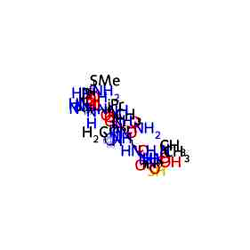 C=C1/C=C\C=C/CN/C=C\1C[C@H](NC(=O)[C@H](CCC(N)=O)NC(=O)CCCCNC(=O)CNC(=O)[C@H](CS)NC(=O)[C@H](CO)NC(=O)CN(C)C)C(=O)N[C@@H](C)C(=O)N[C@H](C(=O)NCC(=O)N[C@@H](Cc1cnc[nH]1)C(=O)N[C@@H](CC(C)C)C(=O)N[C@@H](CCSC)C(N)=O)C(C)C